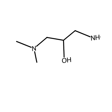 CN(C)CC(O)C[NH]